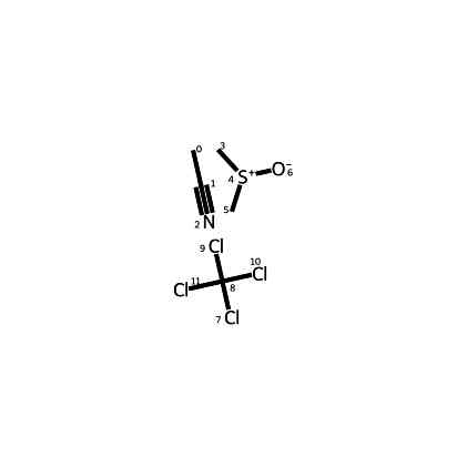 CC#N.C[S+](C)[O-].ClC(Cl)(Cl)Cl